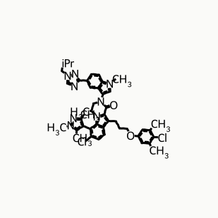 Cc1cc(OCCCc2c3n(c4c(-c5c(C)nn(C)c5C)c(Cl)ccc24)C(C)CN(c2cn(C)c4ccc(-c5ncn(CC(C)C)n5)cc24)C3=O)cc(C)c1Cl